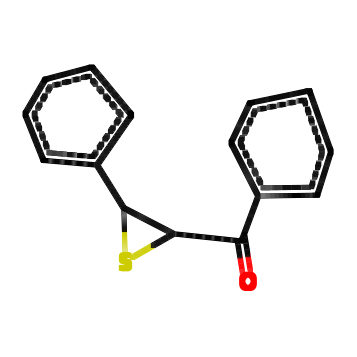 O=C(c1ccccc1)C1SC1c1ccccc1